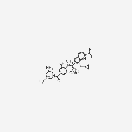 C=C(c1cc2ccc(C(F)F)nc2n1CC1CC1)N(C)c1c(C)cc(C(=O)N2CC(N)C[C@@H](C)C2)cc1OC